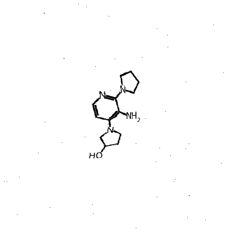 Nc1c(N2CCC(O)C2)ccnc1N1CCCC1